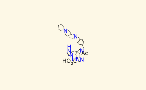 CC(=O)N(Cc1ccc(CN2CCC3(CCN(C4CCCCC4)CC3)C2)cc1)CC(CCC(=O)O)(Cc1ncc[nH]1)Cc1ncc[nH]1